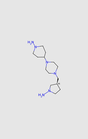 NN1CCC(N2CCN(C[C@H]3CCN(N)C3)CC2)CC1